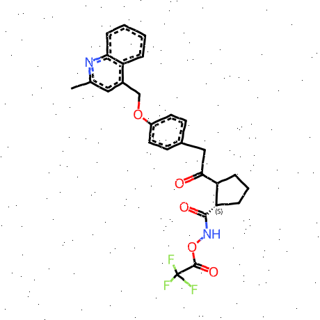 Cc1cc(COc2ccc(CC(=O)C3CCC[C@@H]3C(=O)NOC(=O)C(F)(F)F)cc2)c2ccccc2n1